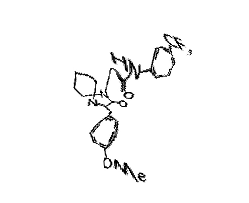 COc1ccc(C2=NC3(CCCCC3)N(CC(=O)Nc3cccc(C(F)(F)F)c3)C2=O)cc1